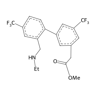 CCNCc1cc(C(F)(F)F)ccc1-c1cc(CC(=O)OC)cc(C(F)(F)F)c1